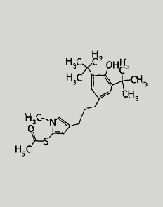 CC(=O)Sc1cc(CCCc2cc(C(C)(C)C)c(O)c(C(C)(C)C)c2)cn1C